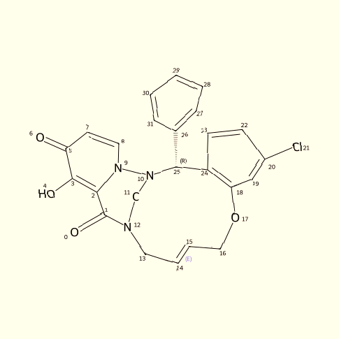 O=C1c2c(O)c(=O)ccn2N2CN1C/C=C/COc1cc(Cl)ccc1[C@H]2c1ccccc1